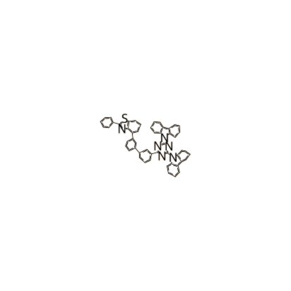 c1ccc(-c2nc3c(-c4cccc(-c5cccc(-c6nc(-n7c8ccccc8c8ccccc87)nc(-n7c8ccccc8c8ccccc87)n6)c5)c4)cccc3s2)cc1